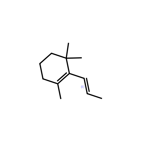 C/C=C/C1=C(C)CCCC1(C)C